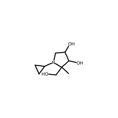 CC1(CO)C(O)C(O)CN1C1CC1